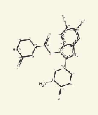 N[C@@H]1CN(c2nc3cc(F)c(F)cc3n2CC(=O)N2CCNC(=O)C2)CC[C@H]1F